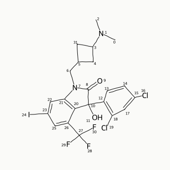 CN(C)C1CC(CN2C(=O)C(O)(c3ccc(Cl)cc3Cl)c3c2cc(I)cc3C(F)(F)F)C1